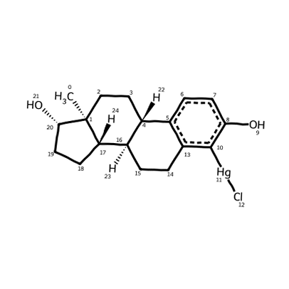 C[C@]12CC[C@@H]3c4ccc(O)[c]([Hg][Cl])c4CC[C@H]3[C@@H]1CC[C@@H]2O